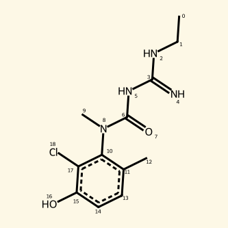 CCNC(=N)NC(=O)N(C)c1c(C)ccc(O)c1Cl